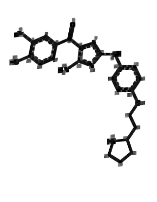 CCCc1cc(C(=O)c2sc(Nc3ccc(OCCC4CCCN4)cc3)nc2N)ccc1O